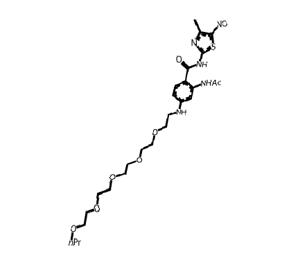 CCCOCCOCCOCCOCCOCCNc1ccc(C(=O)Nc2nc(C)c(N=O)s2)c(NC(C)=O)c1